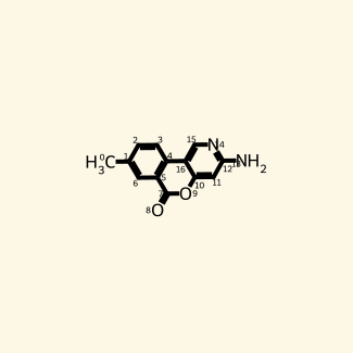 Cc1ccc2c(c1)c(=O)oc1cc(N)ncc12